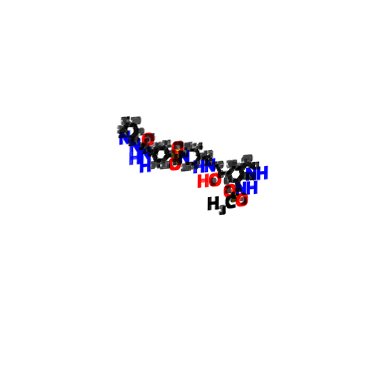 CS(=O)(=O)Nc1cc(C(O)CNCC2CCN(S(=O)(=O)c3ccc(NC(=O)Nc4ccccn4)cc3)CC2)cc2cc[nH]c12